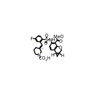 COC(=O)c1c(NS(=O)(=O)c2ccc(F)cc2/C=C2\CCCN(C(=O)O)C2)ccc2c1OC[C@@H]1C[C@H]21